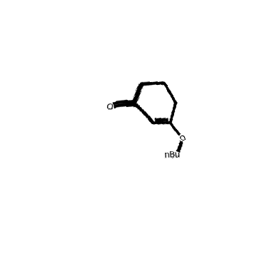 CCCCOC1=CC(=O)CCC1